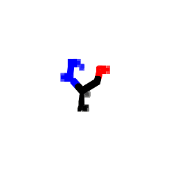 CC(=O)[C@H](CO)NN